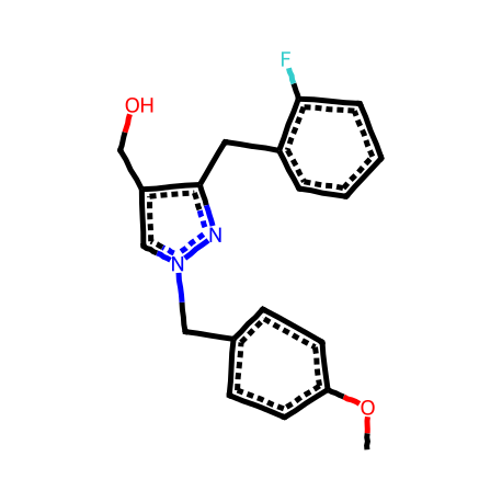 COc1ccc(Cn2cc(CO)c(Cc3ccccc3F)n2)cc1